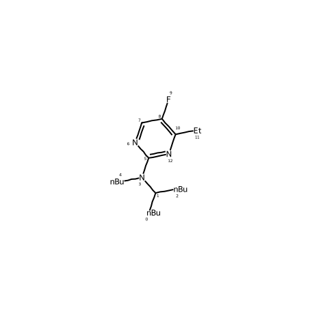 CCCCC(CCCC)N(CCCC)c1ncc(F)c(CC)n1